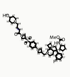 COC(=O)N[C@H]1CCC[C@@H]1C(CN1CCC1)(c1cccc(F)c1)C1CCN(CC2CN(c3ccc(S(=O)(=O)C4CN(C(=O)/C=C/CN5CCC(O)CC5)C4)cc3)C2)CC1